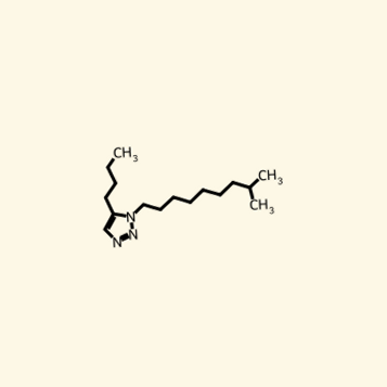 CCCCc1cnnn1CCCCCCCC(C)C